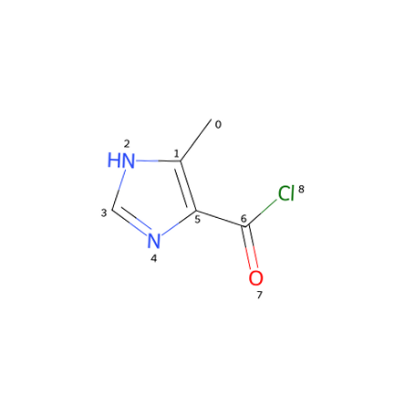 Cc1[nH]cnc1C(=O)Cl